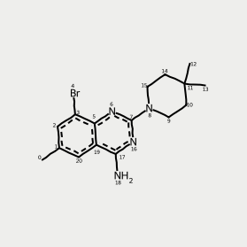 Cc1cc(Br)c2nc(N3CCC(C)(C)CC3)nc(N)c2c1